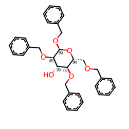 O[C@@H]1[C@@H](OCc2ccccc2)[C@@H](OCc2ccccc2)O[C@H](COCc2ccccc2)[C@H]1OCc1ccccc1